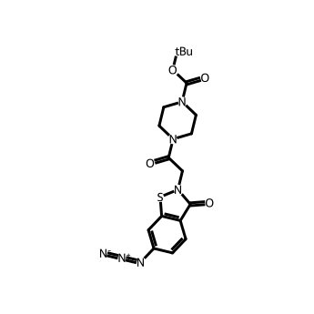 CC(C)(C)OC(=O)N1CCN(C(=O)Cn2sc3cc(N=[N+]=[N-])ccc3c2=O)CC1